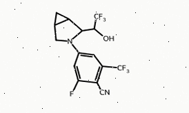 N#Cc1c(F)cc(N2CC3CC3C2C(O)C(F)(F)F)cc1C(F)(F)F